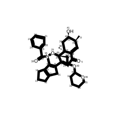 C[C@H]1C=C2C(=O)C=C3C4=C(C5=C(CCC5)C4)N(C(=O)c4ccccc4)O[C@]3(C(=O)COC3CCCCO3)[C@@]2(C)C[C@@H]1O